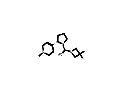 CN1CC=C([C@@H]2CCCN2C(O)N2CC(F)(F)C2)CC1